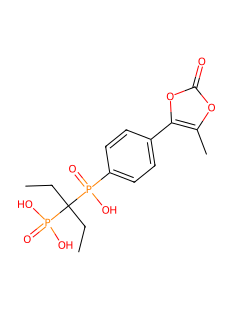 CCC(CC)(P(=O)(O)O)P(=O)(O)c1ccc(-c2oc(=O)oc2C)cc1